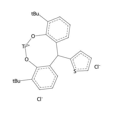 CC(C)(C)c1cccc2c1[O][Ti+2][O]c1c(cccc1C(C)(C)C)C2c1cccs1.[Cl-].[Cl-]